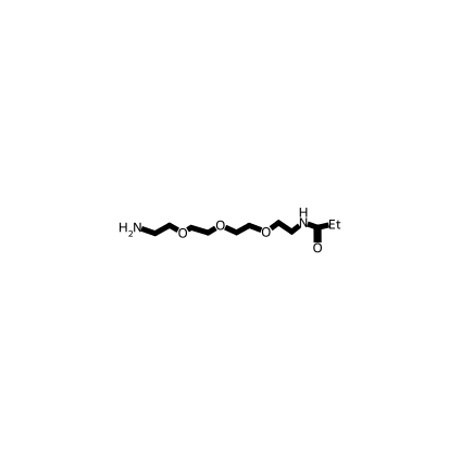 CCC(=O)NCCOCCOCCOCCN